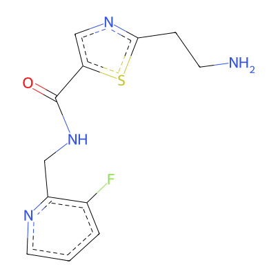 NCCc1ncc(C(=O)NCc2ncccc2F)s1